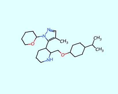 Cc1cnn(C2CCCCO2)c1C1CCCNC1COC1CCC(C(C)C)CC1